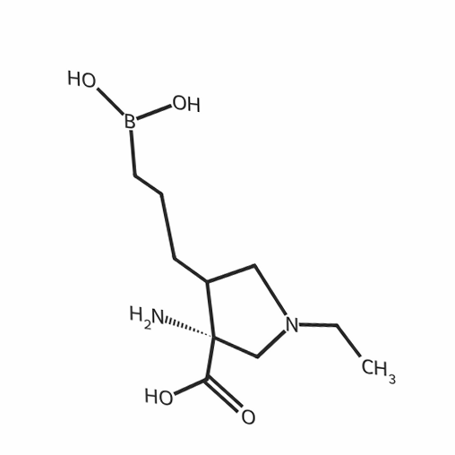 CCN1CC(CCCB(O)O)[C@](N)(C(=O)O)C1